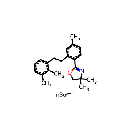 Cc1ccc(C2=NC(C)(C)CO2)c(CCc2cccc(C)c2C)c1.[Li][CH2]CCC